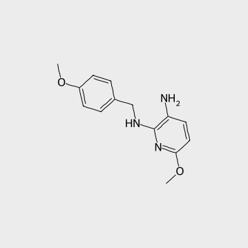 COc1ccc(CNc2nc(OC)ccc2N)cc1